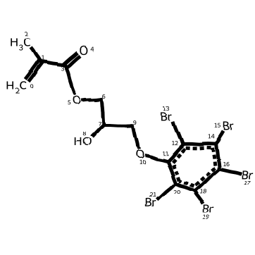 C=C(C)C(=O)OCC(O)COc1c(Br)c(Br)c(Br)c(Br)c1Br